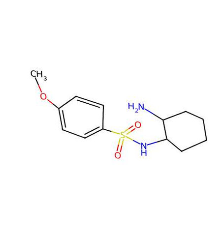 COc1ccc(S(=O)(=O)NC2CCCCC2N)cc1